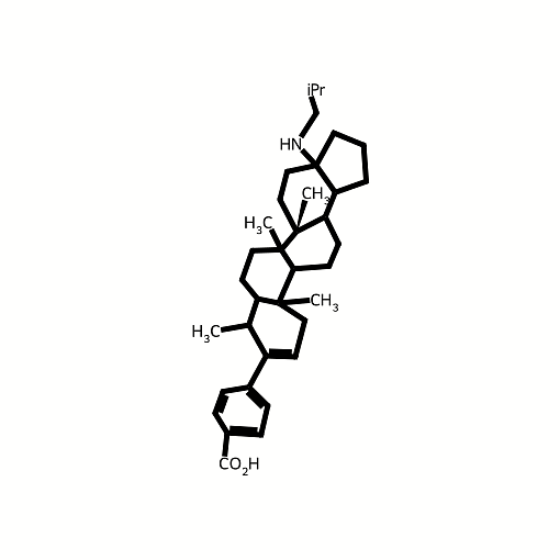 CC(C)CNC12CCCC1C1CCC3C4(C)CC=C(c5ccc(C(=O)O)cc5)C(C)C4CCC3(C)[C@]1(C)CC2